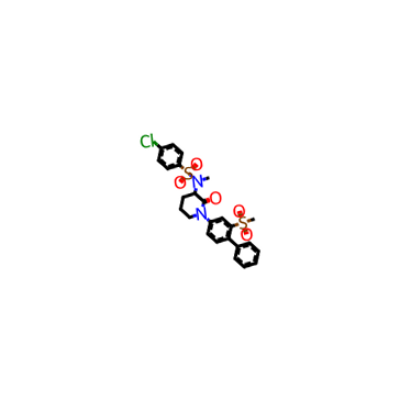 CN(C1CCCN(c2ccc(-c3ccccc3)c(S(C)(=O)=O)c2)C1=O)S(=O)(=O)c1ccc(Cl)cc1